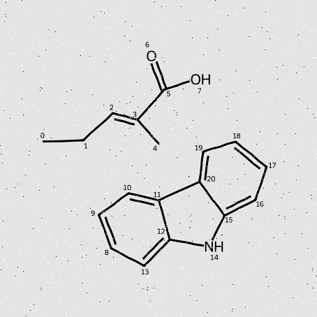 CC/C=C(\C)C(=O)O.c1ccc2c(c1)[nH]c1ccccc12